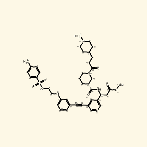 Cc1ccc(S(=O)(=O)OCCOc2cccc(C#Cc3cncc([C@H](CC(=O)OC(C)(C)C)NC(=O)[C@@H]4CCCN(C(=O)CCC5CCN(C(=O)O)CC5)C4)c3)c2)cc1